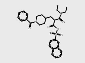 CCN(CC)C(=O)C(CC1CCN(C(=O)c2ccccc2)CC1)C(=O)NS(=O)(=O)c1ccc2ccccc2c1